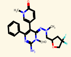 CN(CC1CC(F)(F)CO1)/N=c1/c(-c2ccc(=O)n(C)c2)c(-c2ccccc2)nc(N)n1C=O